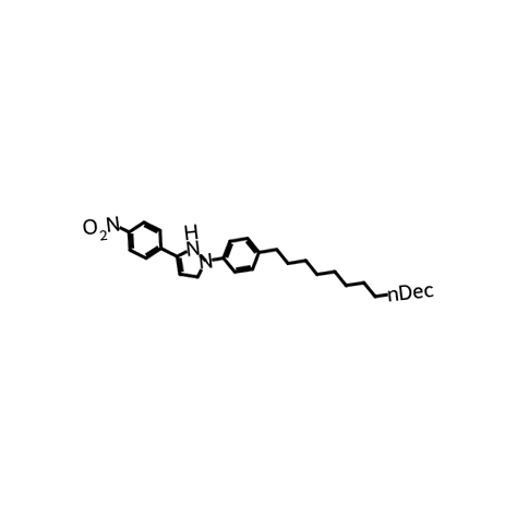 CCCCCCCCCCCCCCCCCCc1ccc(N2CC=C(c3ccc([N+](=O)[O-])cc3)N2)cc1